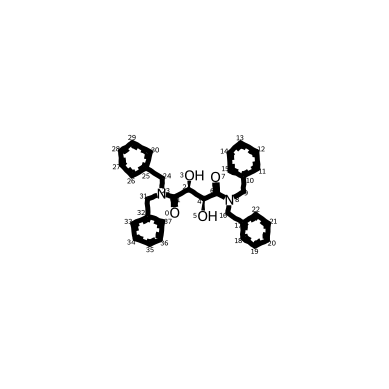 O=C([C@@H](O)[C@H](O)C(=O)N(Cc1ccccc1)Cc1ccccc1)N(Cc1ccccc1)Cc1ccccc1